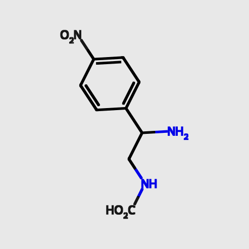 NC(CNC(=O)O)c1ccc([N+](=O)[O-])cc1